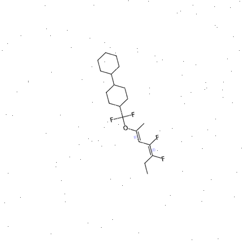 CC/C(F)=C(F)\C=C(/C)OC(F)(F)C1CCC(C2CCCCC2)CC1